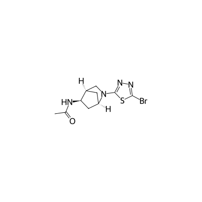 CC(=O)N[C@@H]1C[C@H]2C[C@@H]1CN2c1nnc(Br)s1